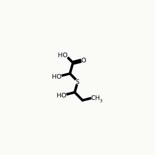 CCC(O)SC(O)C(=O)O